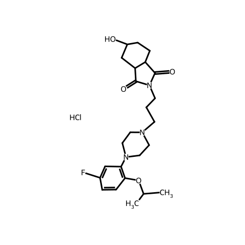 CC(C)Oc1ccc(F)cc1N1CCN(CCCN2C(=O)C3CCC(O)CC3C2=O)CC1.Cl